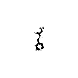 N#CCC(=O)OCc1ccncc1